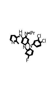 Cc1ncccc1Nc1cc2nc3cc(F)ccc3n(-c3ccc(Cl)c(Cl)c3)c-2c/c1=N\C(C)C